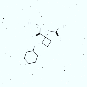 COC(=O)[C@]1(NC(C)=O)CC[C@@H]1OC1CCCCC1